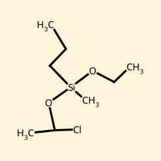 CCC[Si](C)(OCC)OC(C)Cl